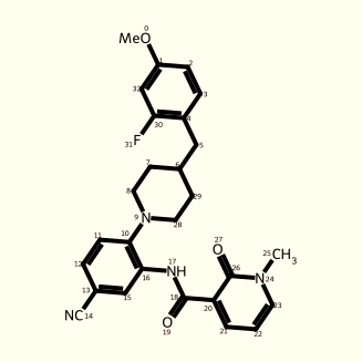 COc1ccc(CC2CCN(c3ccc(C#N)cc3NC(=O)c3cccn(C)c3=O)CC2)c(F)c1